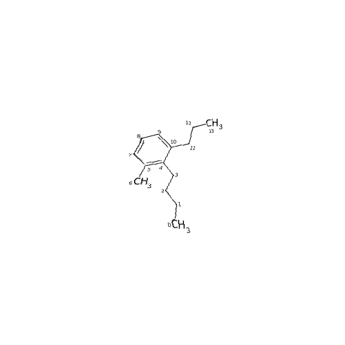 CCCCc1c(C)cccc1CCC